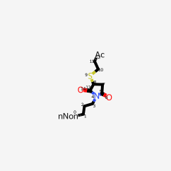 CCCCCCCCCCCCN1C(=O)CC(SCCC(C)=O)C1=O